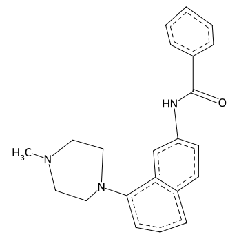 CN1CCN(c2cccc3ccc(NC(=O)c4ccccc4)cc23)CC1